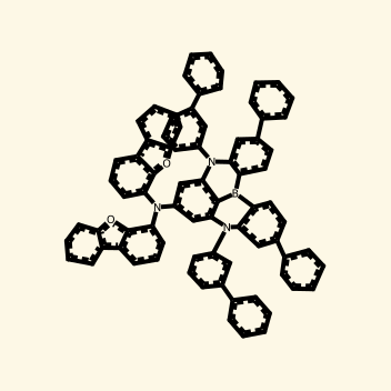 c1ccc(-c2cccc(N3c4cc(-c5ccccc5)ccc4B4c5ccc(-c6ccccc6)cc5N(c5cccc(-c6ccccc6)c5)c5cc(N(c6cccc7c6oc6ccccc67)c6cccc7c6oc6ccccc67)cc3c54)c2)cc1